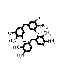 CCc1cc(Cc2cc(C)c(N)c(CC)c2)cc(C)c1N.Cc1cc(Cc2ccc(N)c(C)c2)ccc1N